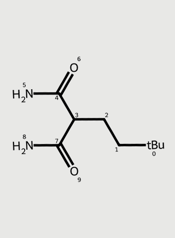 CC(C)(C)CCC(C(N)=O)C(N)=O